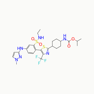 CCNS(=O)(=O)c1cc(Nc2ccn(C)n2)ccc1-c1sc(C2CCC(NC(=O)OC(C)C)CC2)nc1C(F)(F)F